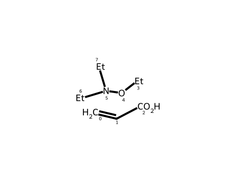 C=CC(=O)O.CCON(CC)CC